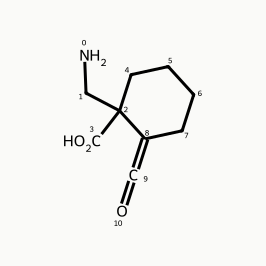 NCC1(C(=O)O)CCCCC1=C=O